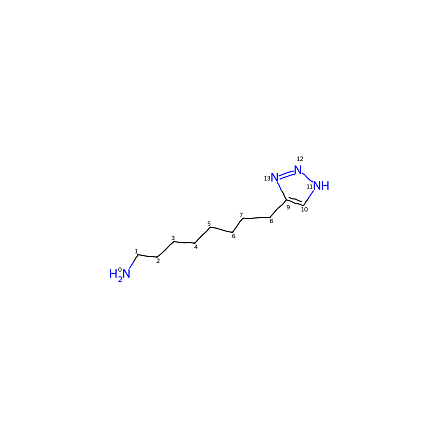 NCCCCCCCCc1c[nH]nn1